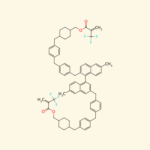 C=C(C(=O)OCC1CCC(Cc2ccc(Cc3ccc(Cc4cc(-c5c(Cc6ccc(Cc7ccc(CC8CCC(COC(=O)C(=C)C(F)(F)F)CC8)cc7)cc6)ccc6cc(C)ccc56)c5ccc(C)cc5c4)cc3)cc2)CC1)C(F)(F)F